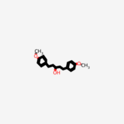 COc1ccc(CCC(O)CCc2ccc(OC)cc2)cc1